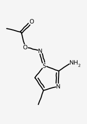 CC(=O)ON=S1C=C(C)N=C1N